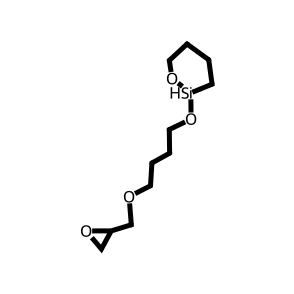 C(CCO[SiH]1CCCCO1)COCC1CO1